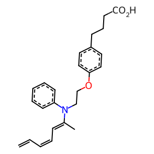 C=C/C=C\C=C(/C)N(CCOc1ccc(CCCC(=O)O)cc1)c1ccccc1